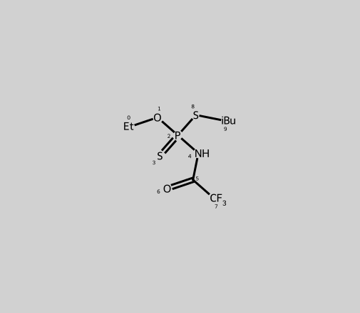 CCOP(=S)(NC(=O)C(F)(F)F)SC(C)CC